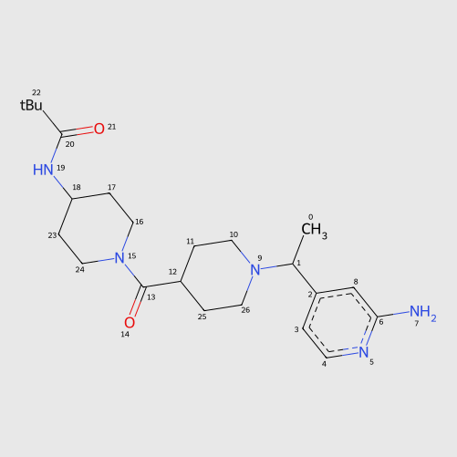 CC(c1ccnc(N)c1)N1CCC(C(=O)N2CCC(NC(=O)C(C)(C)C)CC2)CC1